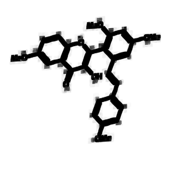 COc1ccc(/C=C/c2cc(OC)cc(OC)c2-c2oc3ccc(OC)cc3c(=O)c2O)cc1